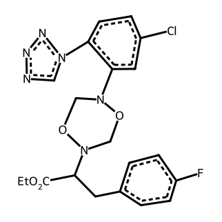 CCOC(=O)C(Cc1ccc(F)cc1)N1CON(c2cc(Cl)ccc2-n2cnnn2)CO1